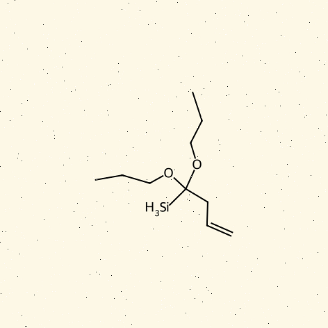 C=CCC([SiH3])(OCCC)OCCC